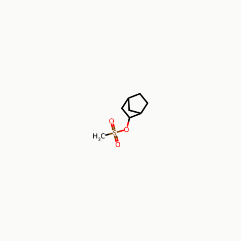 CS(=O)(=O)OC1CC2CCC1C2